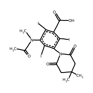 CC(=O)N(C)c1c(I)c(C(=O)O)c(I)c(N2C(=O)CC(C)(C)CC2=O)c1I